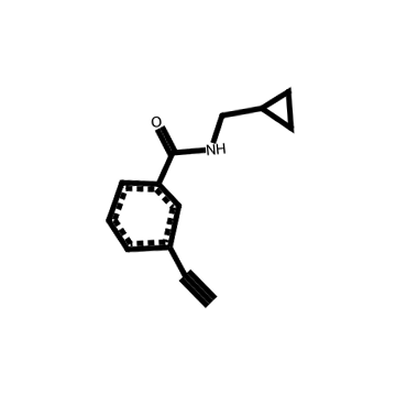 C#Cc1cccc(C(=O)NCC2CC2)c1